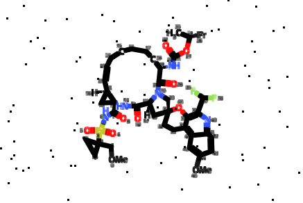 COCC1(S(=O)(=O)NC(=O)[C@@]23C[C@H]2/C=C\CCCCC[C@H](NC(=O)O[C@@H](C)C(C)C)C(=O)N2C[C@@]4(CCc5c(c(C(F)F)nc6ccc(OC)cc56)O4)C[C@H]2C(=O)N3)CC1